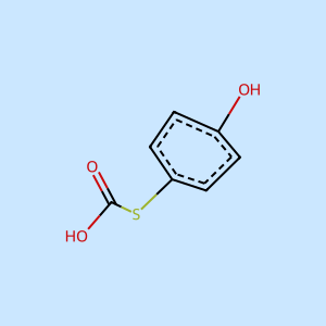 O=C(O)Sc1ccc(O)cc1